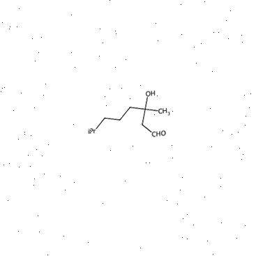 CC(C)CCCC(C)(O)CC=O